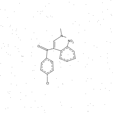 CN(C)/C=C(/C(=O)c1ccc(Cl)cc1)c1ccccc1[N+](=O)[O-]